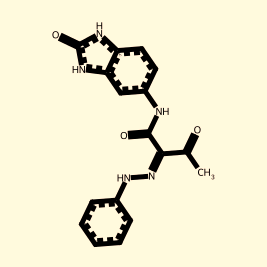 CC(=O)/C(=N/Nc1ccccc1)C(=O)Nc1ccc2[nH]c(=O)[nH]c2c1